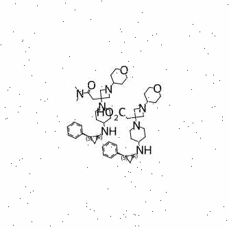 CN(C)C(=O)CC1(N2CCC(N[C@@H]3C[C@H]3c3ccccc3)CC2)CN(C2CCOCC2)C1.O=C(O)CC1(N2CCC(N[C@@H]3C[C@H]3c3ccccc3)CC2)CN(C2CCOCC2)C1